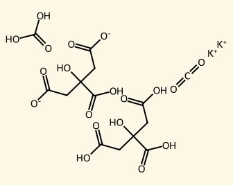 O=C(O)CC(O)(CC(=O)O)C(=O)O.O=C(O)O.O=C([O-])CC(O)(CC(=O)[O-])C(=O)O.O=C=O.[K+].[K+]